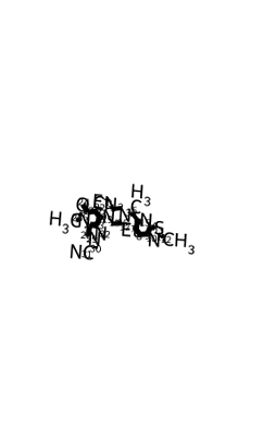 CC[C@H]1CN(C(C)c2ccc3nc(C)sc3n2)[C@H](CC)CN1c1c(C#N)c(=O)n(C)c2cn(CC#N)nc12